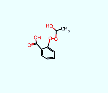 CC(O)OOc1ccccc1C(=O)O